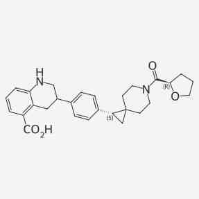 O=C(O)c1cccc2c1CC(c1ccc([C@H]3CC34CCN(C(=O)[C@H]3CCCO3)CC4)cc1)CN2